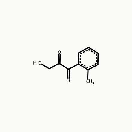 CCC(=O)C(=O)c1ccccc1C